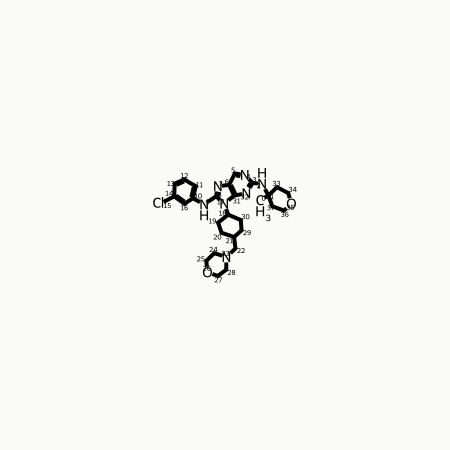 CC1(Nc2ncc3nc(Nc4cccc(Cl)c4)n(C4CCC(CN5CCOCC5)CC4)c3n2)CCOCC1